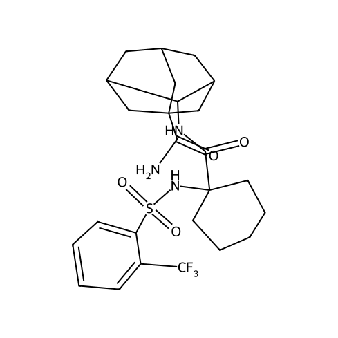 NC(=O)C12CC3CC(C1)C(NC(=O)C1(NS(=O)(=O)c4ccccc4C(F)(F)F)CCCCC1)C(C3)C2